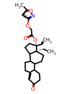 C=C[C@]1(OC(=O)COc2cc(C)on2)CCC2C3CCC4=CC(=O)CCC4C3CC[C@@]21CC